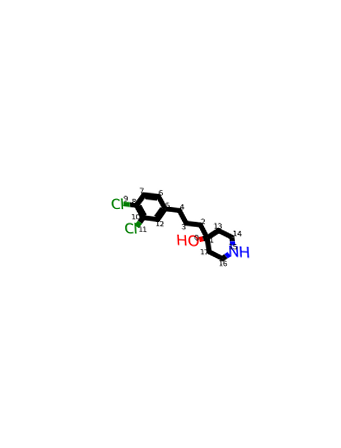 OC1(CCCc2ccc(Cl)c(Cl)c2)CCNCC1